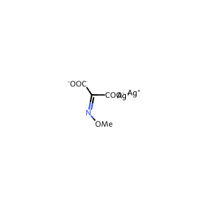 CON=C(C(=O)[O-])C(=O)[O-].[Ag+].[Ag+]